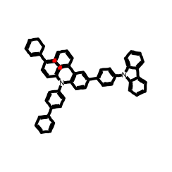 C1=CCCC(c2ccc(N(c3ccc(-c4ccccc4)cc3)c3ccc(-c4ccc(-n5c6ccccc6c6ccccc65)cc4)cc3-c3ccccc3)cc2)=C1